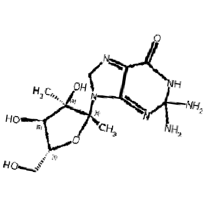 C[C@@]1(N2CN=C3C(=O)NC(N)(N)N=C32)O[C@H](CO)[C@@H](O)[C@@]1(C)O